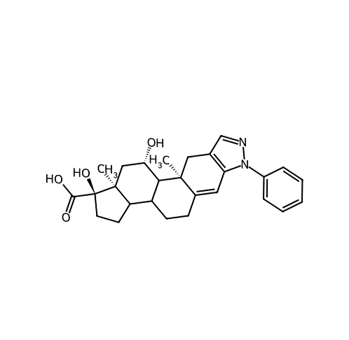 C[C@]12Cc3cnn(-c4ccccc4)c3C=C1CCC1C2[C@@H](O)C[C@@]2(C)C1CC[C@]2(O)C(=O)O